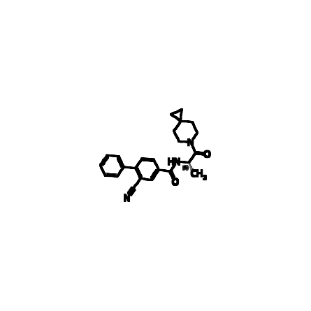 C[C@H](NC(=O)c1ccc(-c2ccccc2)c(C#N)c1)C(=O)N1CCC2(CC1)CC2